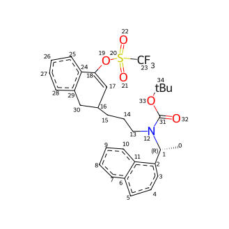 C[C@H](c1cccc2ccccc12)N(CCCC1C=C(OS(=O)(=O)C(F)(F)F)c2ccccc2C1)C(=O)OC(C)(C)C